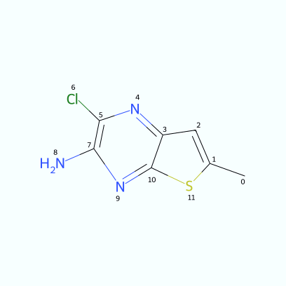 Cc1cc2nc(Cl)c(N)nc2s1